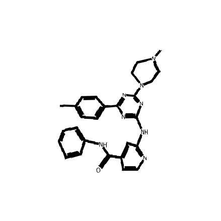 Cc1ccc(-c2nc(Nc3cc(C(=O)Nc4ccccc4)ccn3)nc(N3CCN(C)CC3)n2)cc1